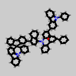 c1ccc(-c2cccc(-c3ccccc3N(c3ccc(-c4ccc5c(c4)c4ccccc4n5-c4ccccc4)cc3)c3ccc(-c4ccc5c(c4)C4(c6ccccc6-5)c5ccccc5-n5c6ccccc6c6cccc4c65)c4ccccc34)c2)cc1